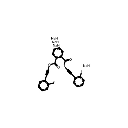 O=C(OC#Cc1ccccc1F)c1ccccc1C(=O)OC#Cc1ccccc1F.[NaH].[NaH].[NaH].[NaH]